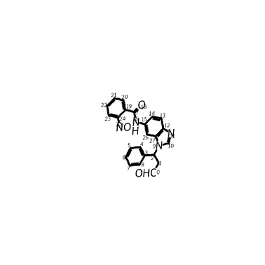 O=CCC(c1ccccc1)n1cnc2ccc(NC(=O)c3ccccc3N=O)cc21